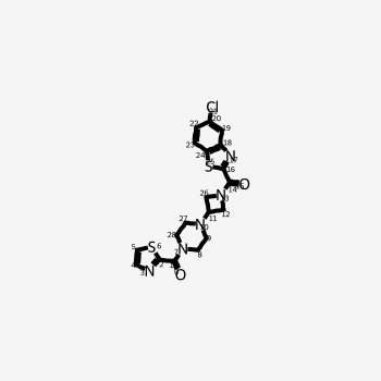 O=C(c1nccs1)N1CCN(C2CN(C(=O)c3nc4cc(Cl)ccc4s3)C2)CC1